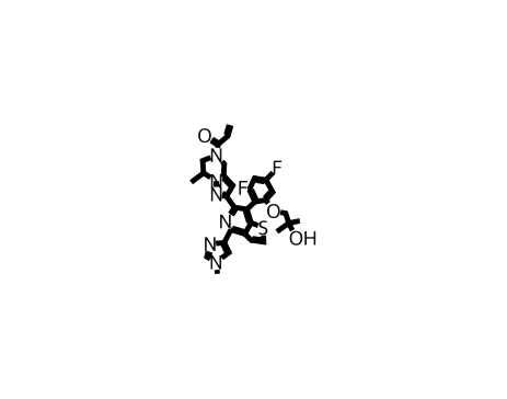 C=CC(=O)N1Cc2cc(-c3nc(-c4cn(C)cn4)c4ccsc4c3-c3c(F)cc(F)cc3OCC(C)(C)O)nn2C(C)C1